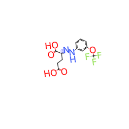 O=C(O)CC/C(=N\Nc1cccc(OC(F)(F)F)c1)C(=O)O